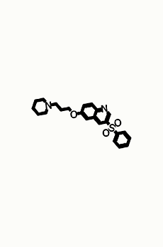 O=S(=O)(c1ccccc1)c1cnc2ccc(OCCCN3CCCCC3)cc2c1